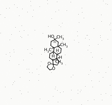 C[C@]1(O)CC[C@]2(C)[C@H]3CC[C@@]4(C)[C@@H](CCC45OCCO5)[C@@H]3CC[C@@]2(C)C1